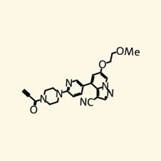 C#CC(=O)N1CCN(c2ccc(-c3cc(OCCOC)cn4ncc(C#N)c34)cn2)CC1